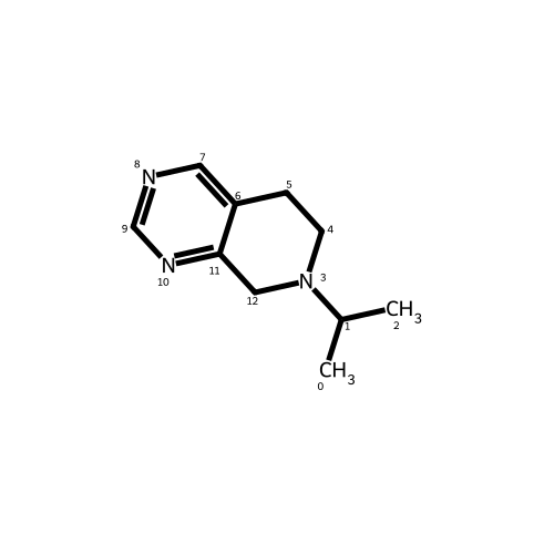 CC(C)N1CCc2cncnc2C1